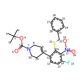 CC(C)(C)OC(=O)N1CC=C(c2ccc(F)c([N+](=O)[O-])c2SCc2ccccc2)CC1